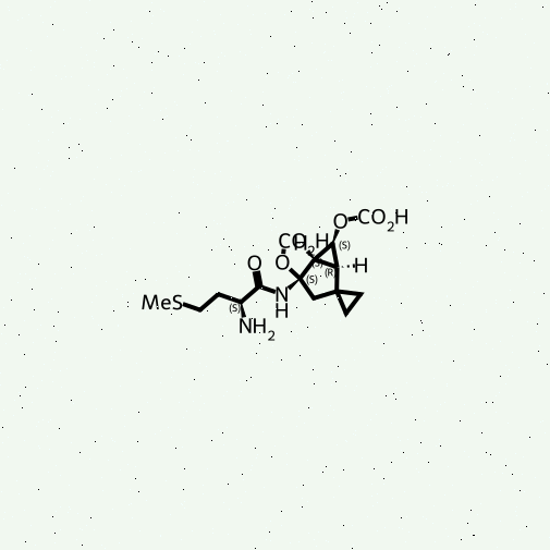 CSCC[C@H](N)C(=O)N[C@]1(OC(=O)O)CC2(CC2)[C@@H]2[C@H](OC(=O)O)[C@H]21